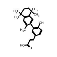 Cc1cc2c(cc1-c1cc(C=CC(=O)O)ccc1O)C(C)(C)CCC2(C)C